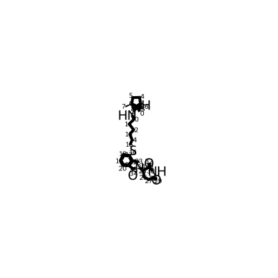 CC1(C)[C@@H]2CC[C@@]1(C)[C@@H](NCCCCCCSc1cccc3c1CN(C1CCC(=O)NC1=O)C3=O)C2